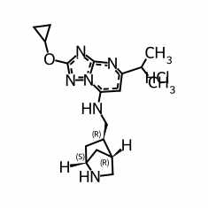 CC(C)c1cc(NC[C@@H]2C[C@@H]3C[C@H]2CN3)n2nc(OC3CC3)nc2n1.Cl